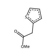 [CH2]OC(=O)Cc1cccs1